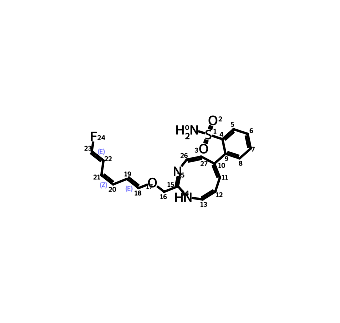 NS(=O)(=O)c1ccccc1-c1ccc[nH]c(CO/C=C/C=C\C=C\F)ncc1